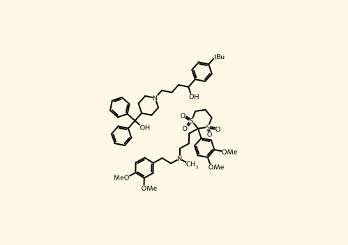 CC(C)(C)c1ccc(C(O)CCCN2CCC(C(O)(c3ccccc3)c3ccccc3)CC2)cc1.COc1ccc(CCN(C)CCCC2(c3ccc(OC)c(OC)c3)S(=O)(=O)CCCS2(=O)=O)cc1OC